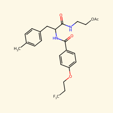 CC(=O)OCCNC(=O)C(Cc1ccc(C)cc1)NC(=O)c1ccc(OCCC(F)(F)F)cc1